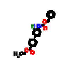 CCOC(=O)[C@H]1CC[C@@H](c2ccc(NC(=O)OCc3ccccc3)c(F)c2)CC1